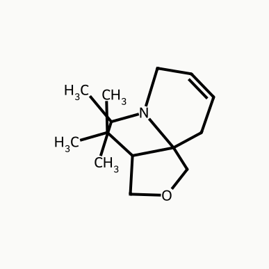 CC(C)C1COCC12CC=CCN2C(C)C